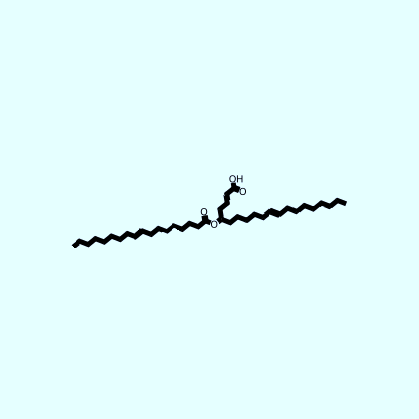 CCCCCCCCC=CCCCCCCCC(=O)OC(CCCCCC=CCCCCCCCC)CCCC(=O)O